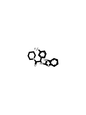 O=C(C(Nc1nc2ccccc2[nH]1)c1cccc(C(F)(F)F)c1)N1CCCCC1